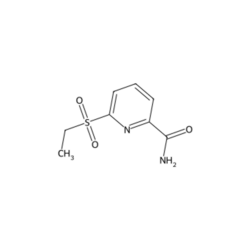 CCS(=O)(=O)c1cccc(C(N)=O)n1